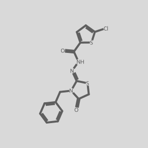 O=C(NN=C1SCC(=O)N1Cc1ccccc1)c1ccc(Cl)s1